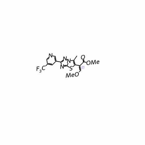 CO/C=C(/C(=O)OC)c1sc2nc(-c3cncc(C(F)(F)F)c3)nn2c1C